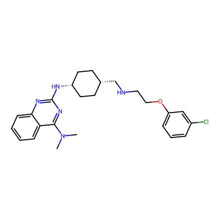 CN(C)c1nc(N[C@H]2CC[C@@H](CNCCOc3cccc(Cl)c3)CC2)nc2ccccc12